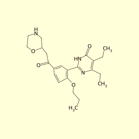 CCCOc1ccc(C(=O)CC2CNCCO2)cc1-c1nc(CC)c(CC)c(=O)[nH]1